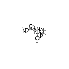 Cc1cc([C@H]2C[C@@H](c3nc(-c4ccc(F)cc4F)c4nc(C)c(C)nc4n3)CCO2)ccn1